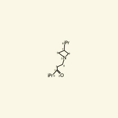 CC(C)C(=O)CCN1CC(C(C)C)C1